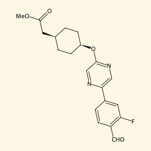 COC(=O)C[C@H]1CC[C@@H](Oc2cnc(-c3ccc(C=O)c(F)c3)cn2)CC1